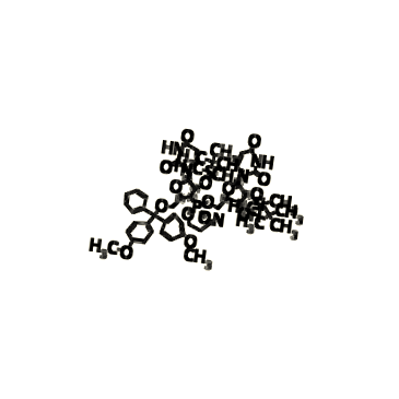 COc1ccc(C(OC[C@H]2O[C@@H](n3ccc(=O)[nH]c3=O)[C@@H](O[Si](C)(C)C(C)(C)C)[C@H]2P(=O)(OCCC#N)OC[C@H]2O[C@@H](n3ccc(=O)[nH]c3=O)[C@H](O[Si](C)(C)C(C)(C)C)[C@H]2O)(c2ccccc2)c2ccc(OC)cc2)cc1